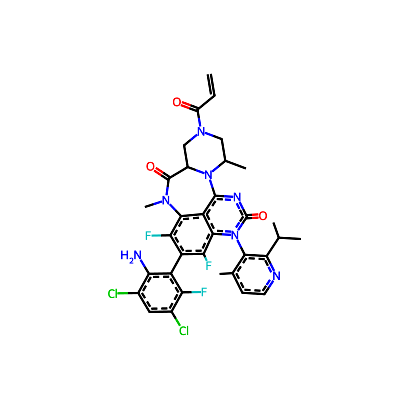 C=CC(=O)N1CC(C)N2c3nc(=O)n(-c4c(C)ccnc4C(C)C)c4c(F)c(-c5c(N)c(Cl)cc(Cl)c5F)c(F)c(c34)N(C)C(=O)C2C1